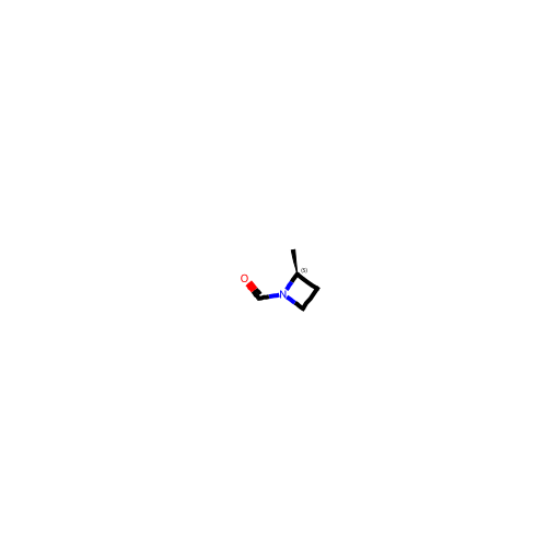 C[C@H]1CCN1C=O